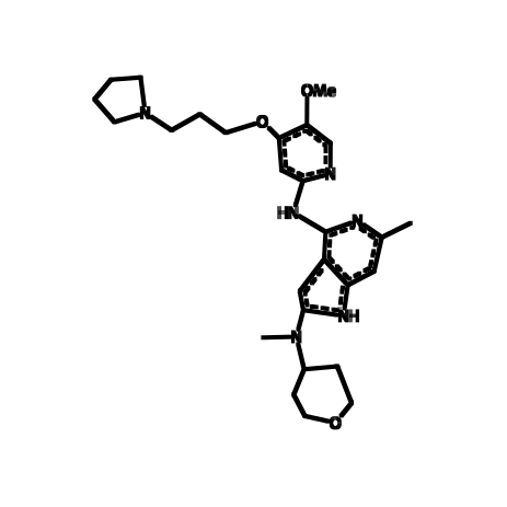 COc1cnc(Nc2nc(C)cc3[nH]c(N(C)C4CCOCC4)cc23)cc1OCCCN1CCCC1